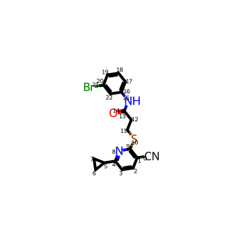 N#Cc1ccc(C2CC2)nc1SCCC(=O)Nc1cccc(Br)c1